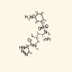 CCC[C@H](C[C@H](C)CN(C)C(=O)c1cnn[nH]1)N(C)S(=O)(=O)c1cccc(N)c1